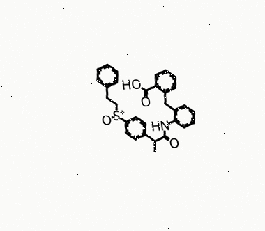 CC(C(=O)Nc1ccccc1Cc1ccccc1C(=O)O)c1ccc([S+]([O-])CCc2ccccc2)cc1